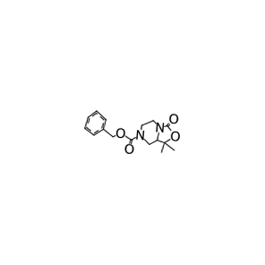 CC1(C)OC(=O)N2CCN(C(=O)OCc3ccccc3)CC21